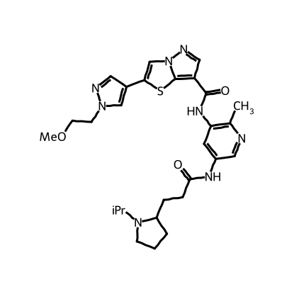 COCCn1cc(-c2cn3ncc(C(=O)Nc4cc(NC(=O)CCC5CCCN5C(C)C)cnc4C)c3s2)cn1